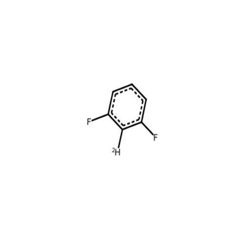 [2H]c1c(F)cccc1F